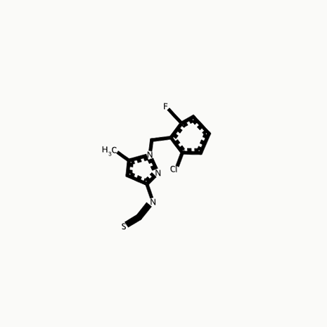 Cc1cc(N=C=S)nn1Cc1c(F)cccc1Cl